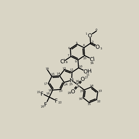 COC(=O)c1ccc(Cl)c(C(O)c2cc3c(C)cc(C(F)(F)F)cc3n2S(=O)(=O)c2ccccc2)c1Cl